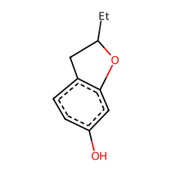 CCC1Cc2ccc(O)cc2O1